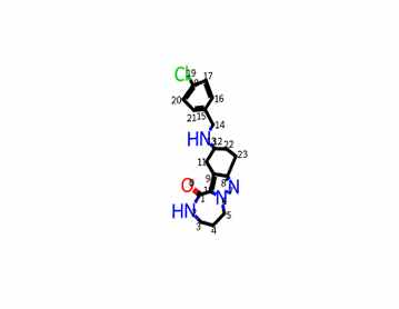 O=C1NCCCn2nc3c(c21)CC(NCc1ccc(Cl)cc1)CC3